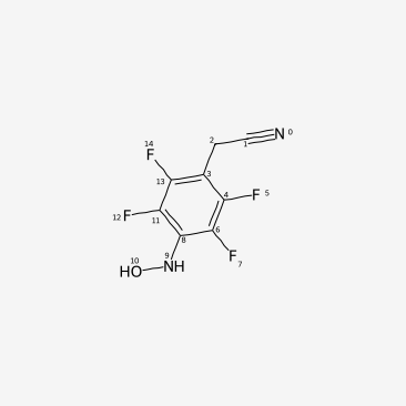 N#CCc1c(F)c(F)c(NO)c(F)c1F